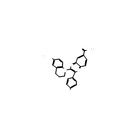 COC(=O)c1ccc2nc(-c3ccc(F)cc3)c(N3CCCc4cc(OC)ccc43)nc2c1